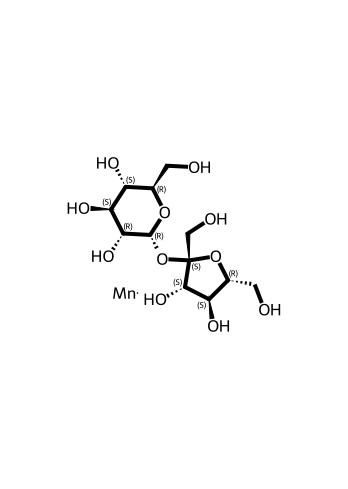 OC[C@H]1O[C@@](CO)(O[C@H]2O[C@H](CO)[C@@H](O)[C@H](O)[C@H]2O)[C@@H](O)[C@@H]1O.[Mn]